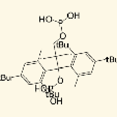 [CH2]C([CH2])(COP(O)O)C(OP(O)O)(c1c(C)cc(C(C)(C)C)cc1C(C)(C)C)c1c(C)cc(C(C)(C)C)cc1C(C)(C)C